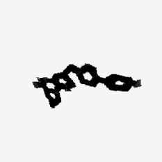 O=C1Nc2cc(CN3CCC(c4ccc(Cl)cc4)CC3)cnc2N2CCCC12